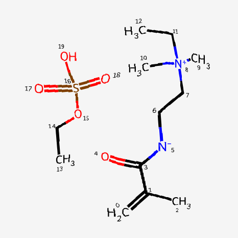 C=C(C)C(=O)[N-]CC[N+](C)(C)CC.CCOS(=O)(=O)O